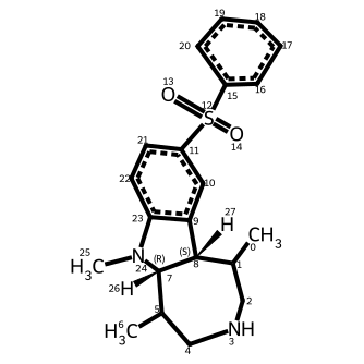 CC1CNCC(C)[C@H]2[C@@H]1c1cc(S(=O)(=O)c3ccccc3)ccc1N2C